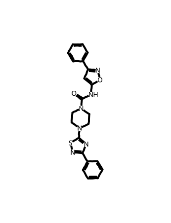 O=C(Nc1cc(-c2ccccc2)no1)N1CCN(c2nc(-c3ccccc3)ns2)CC1